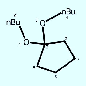 CCCCOC1(OCCCC)CCCC1